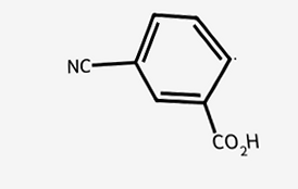 N#Cc1cc[c]c(C(=O)O)c1